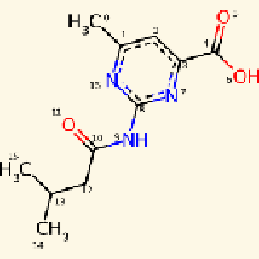 Cc1cc(C(=O)O)nc(NC(=O)CC(C)C)n1